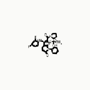 CC(C)(O)[C@@H]1CCCN1C(=O)c1sc2c(ccc(=O)n2-c2ccccc2)c1Nc1ccc(F)cc1F